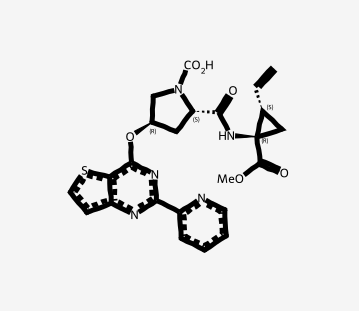 C=C[C@@H]1C[C@]1(NC(=O)[C@@H]1C[C@@H](Oc2nc(-c3ccccn3)nc3ccsc23)CN1C(=O)O)C(=O)OC